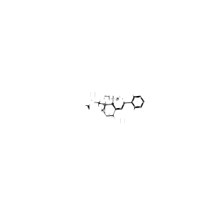 CC(=O)NC(C)(C)[C@@]1(C)CC[C@H](C)c2cc(-c3c(F)cccc3F)nnc21